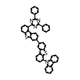 c1ccc(-c2nc(-c3ccccc3)nc(-c3cccc4sc5cc(-c6ccc7sc8c(-n9c%10ccccc%10c%10ccccc%109)cccc8c7c6)ccc5c34)n2)cc1